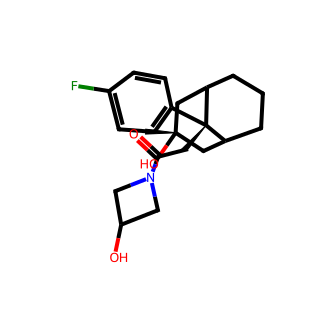 C[C@]1(O)CC2CCCC(C1)[C@@]2(CC(=O)N1CC(O)C1)c1ccc(F)cc1